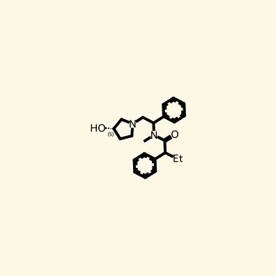 CCC(C(=O)N(C)C(CN1CC[C@H](O)C1)c1ccccc1)c1ccccc1